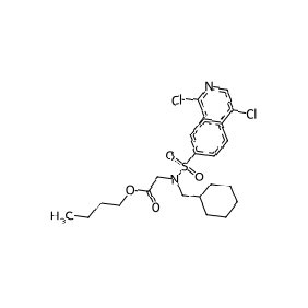 CCCCOC(=O)CN(CC1CCCCC1)S(=O)(=O)c1ccc2c(Cl)cnc(Cl)c2c1